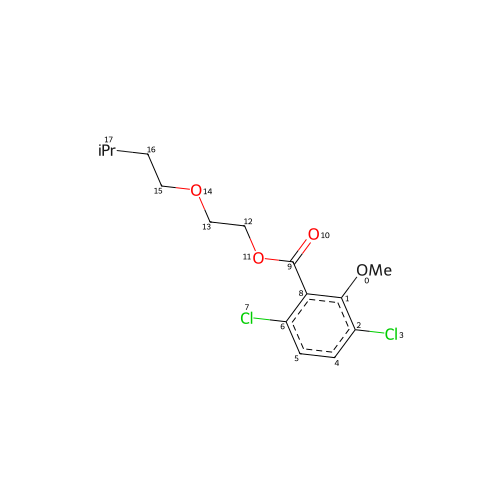 COc1c(Cl)ccc(Cl)c1C(=O)OCCOCCC(C)C